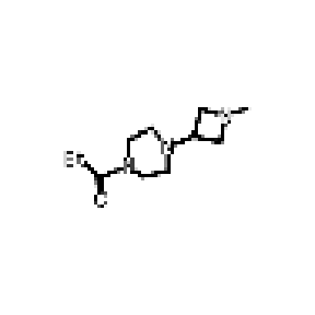 CCC(=O)N1CCN(C2CN(C)C2)CC1